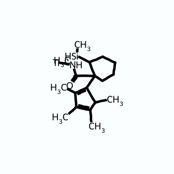 CC1=C(C)C(C)C(C2(C(=O)[NH][Ti])CCCCC2[SiH](C)C)=C1C